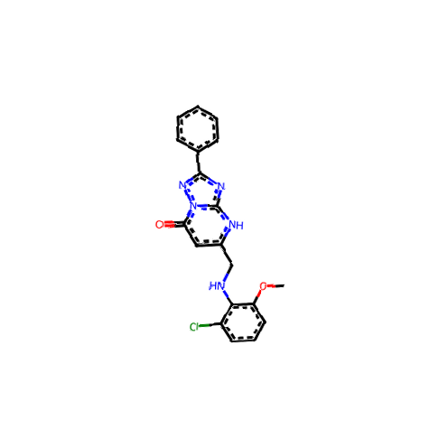 COc1cccc(Cl)c1NCc1cc(=O)n2nc(-c3ccccc3)nc2[nH]1